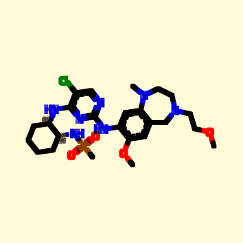 COCCN1CCN(C)c2cc(Nc3ncc(Cl)c(N[C@@H]4CCCC[C@H]4NS(C)(=O)=O)n3)c(OC)cc2C1